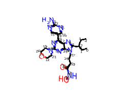 CCC(CC)c1nc2c(-c3cnc(N)nc3)nc(N3CCOCC3)nc2n1CCCC(=O)NO